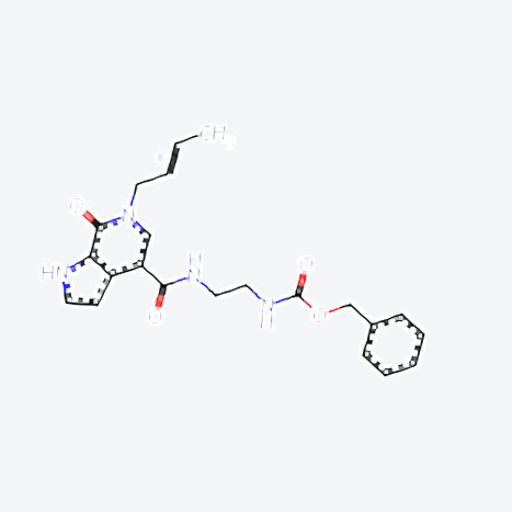 C/C=C/Cn1cc(C(=O)NCCNC(=O)OCc2ccccc2)c2cc[nH]c2c1=O